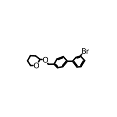 Brc1cccc(-c2ccc(COC3CCCCO3)cc2)c1